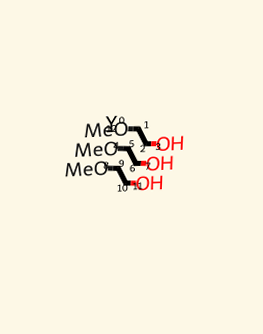 COCCO.COCCO.COCCO.[Y]